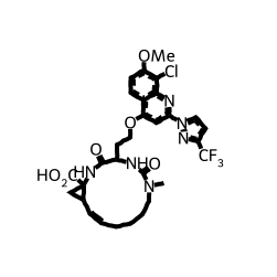 COc1ccc2c(OCCC3NC(=O)N(C)CCCC/C=C\C4CC4(C(=O)O)NC3=O)cc(-n3ccc(C(F)(F)F)n3)nc2c1Cl